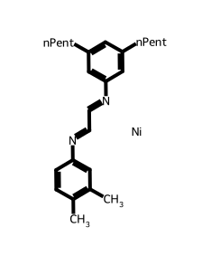 CCCCCc1cc(CCCCC)cc(N=CC=Nc2ccc(C)c(C)c2)c1.[Ni]